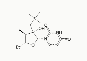 CC[C@H]1O[C@@H](n2ccc(=O)[nH]c2=O)[C@](O)(C[Si](C)(C)C)[C@@H]1C